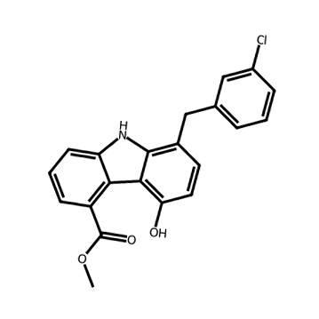 COC(=O)c1cccc2[nH]c3c(Cc4cccc(Cl)c4)ccc(O)c3c12